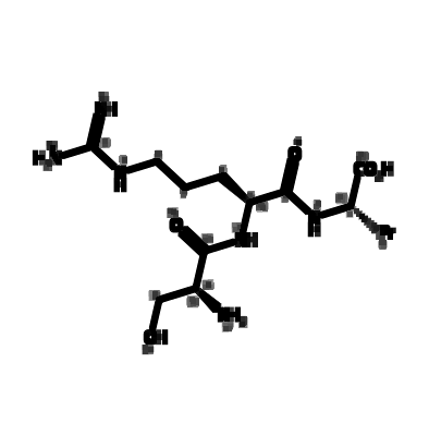 CC(C)[C@H](NC(=O)[C@H](CCCNC(=N)N)NC(=O)[C@@H](N)CO)C(=O)O